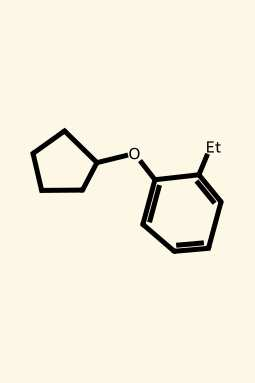 CCc1ccccc1OC1CCCC1